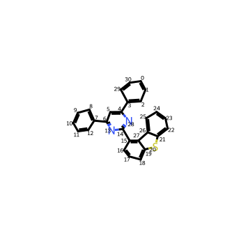 c1ccc(-c2cc(-c3ccccc3)nc(-c3cccc4sc5ccccc5c34)n2)cc1